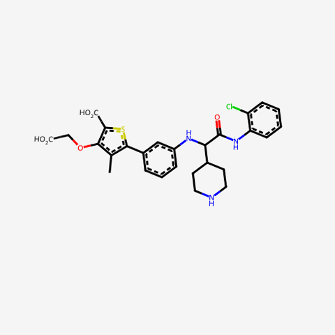 Cc1c(-c2cccc(NC(C(=O)Nc3ccccc3Cl)C3CCNCC3)c2)sc(C(=O)O)c1OCC(=O)O